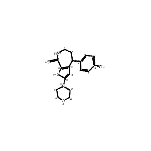 S=C1NCCC(c2ccc(Cl)cc2)c2cc(N3CCOCC3)sc21